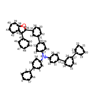 c1ccc(-c2ccc(N(c3ccc(-c4cccc(-c5ccccc5)c4)cc3)c3ccc(-c4cccc(-c5oc6ccccc6c5-c5ccccc5)c4)cc3)cc2)cc1